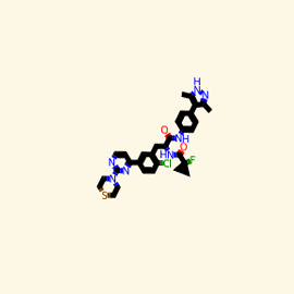 Cc1n[nH]c(C)c1-c1ccc(NC(=O)C(Cc2cc(-c3ccnc(N4CCSCC4)n3)ccc2Cl)NC(=O)C2(F)CC2)cc1